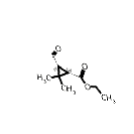 CCOC(=O)[C@H]1[C@@H](C=O)C1(C)C